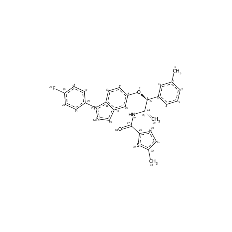 Cc1cccc([C@H](Oc2ccc3c(cnn3-c3ccc(F)cc3)c2)[C@H](C)NC(=O)c2ncc(C)s2)c1